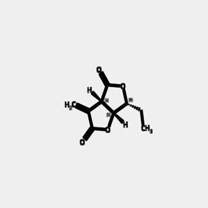 C=C1C(=O)O[C@@H]2[C@H]1C(=O)O[C@@H]2CC